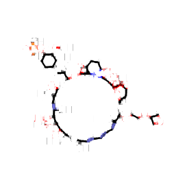 CO[C@@H]1C[C@H](C[C@@H](C)[C@@H]2CC(=O)[C@H](C)/C=C(\C)[C@@H](O)[C@@H](OC)C(=O)[C@H](C)C[C@H](C)/C=C/C=C/C=C(\C)[C@@H](OCCOC3COC3)C[C@@H]3CC[C@@H](C)[C@@](O)(O3)C(=O)C(=O)N3CCCC[C@H]3C(=O)O2)CC[C@H]1OP(C)(C)=O